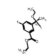 CCOC(=O)c1cc(F)cc([C@@](C)(I)OCC)c1